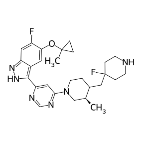 C[C@H]1CN(c2cc(-c3[nH]nc4cc(F)c(OC5(C)CC5)cc34)ncn2)CCC1CC1(F)CCNCC1